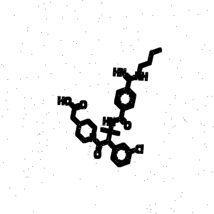 CCCCNC(=N)c1ccc(C(=O)NC(C)(C)C(C(=O)N2CCC(CC(=O)O)CC2)c2cccc(Cl)c2)cc1